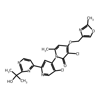 Cc1nc(COc2cc(C)n(-c3cc(-c4ccnc(C(C)(C)O)n4)ncc3Cl)c(=O)c2Cl)co1